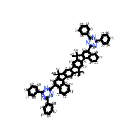 CC1(C)c2cc3c(cc2-c2cc4c(cc21)-c1c(cc(-c2nc(-c5ccccc5)nc(-c5ccccc5)n2)c2ccccc12)C4(C)C)C(C)(C)c1cc(-c2nc(-c4ccccc4)nc(-c4ccccc4)n2)c2ccccc2c1-3